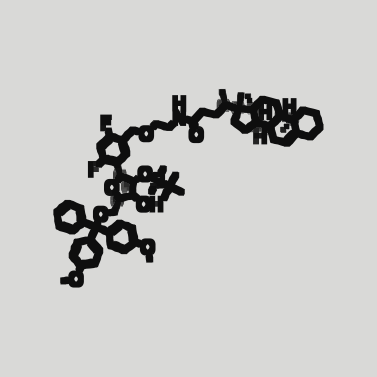 COc1ccc(C(OC[C@H]2O[C@@H](c3cc(COCCNC(=O)CC[C@@H](C)[C@@]4(C)CC[C@H]5[C@@H]6CC=C7CCCC[C@]7(C)[C@H]6CC[C@@]54C)c(F)cc3F)[C@@H](O[Si](C)(C)C(C)(C)C)C2O)(c2ccccc2)c2ccc(OC)cc2)cc1